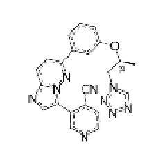 C[C@@H](Cn1cnnn1)Oc1cccc(-c2ccc3ncc(-c4cnccc4C#N)n3n2)c1